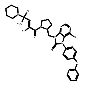 CC(C)(C=C(C#N)C(=O)N1CCCC1Cn1c(=O)n(-c2ccc(Oc3ccccc3)cc2)c2c(N)ncnc21)N1CCCCC1